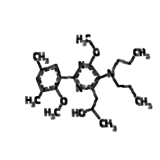 CCCN(CCC)c1c(CC(C)O)nc(-c2cc(C)cc(C)c2OC)nc1OC